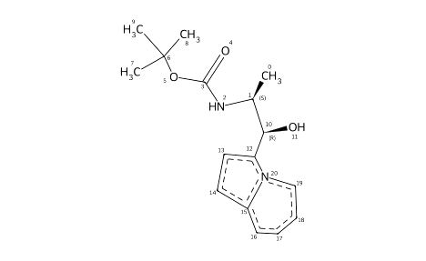 C[C@H](NC(=O)OC(C)(C)C)[C@@H](O)c1ccc2ccccn12